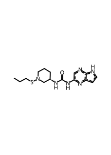 CCCSN1CCC[C@@H](NC(=O)Nc2cnc3[nH]ccc3n2)C1